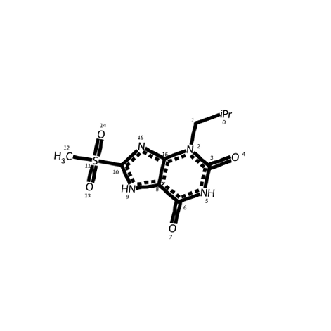 CC(C)Cn1c(=O)[nH]c(=O)c2[nH]c(S(C)(=O)=O)nc21